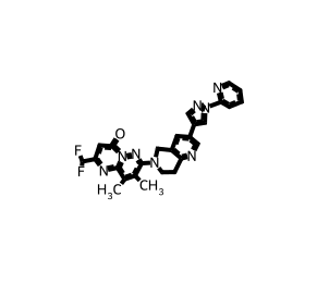 Cc1c(N2CCc3ncc(-c4cnn(-c5ccccn5)c4)cc3C2)nn2c(=O)cc(C(F)F)nc2c1C